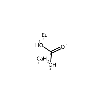 O=C(O)O.[CaH2].[Eu]